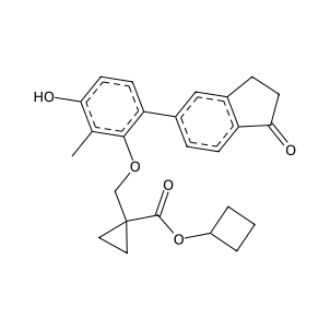 Cc1c(O)ccc(-c2ccc3c(c2)CCC3=O)c1OCC1(C(=O)OC2CCC2)CC1